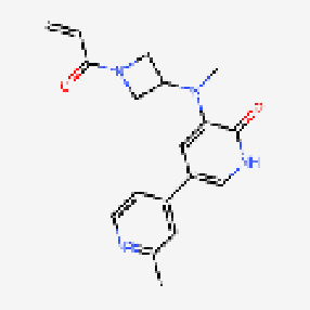 C=CC(=O)N1CC(N(C)c2cc(-c3ccnc(C)c3)c[nH]c2=O)C1